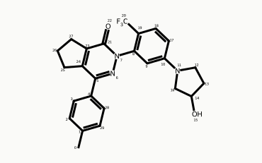 Cc1ccc(-c2nn(-c3cc(N4CCC(O)C4)ccc3C(F)(F)F)c(=O)c3c2CCC3)cc1